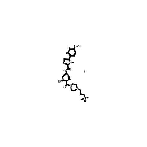 CCc1cc(NC(=O)c2ncc(-c3ccc(OC)c(F)c3F)n2C)ccc1C(=O)N1CCN(CCC[N+](C)(C)C)CC1.[I-]